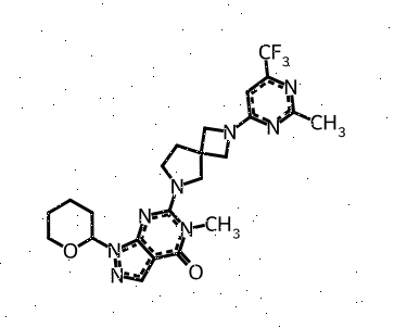 Cc1nc(N2CC3(CCN(c4nc5c(cnn5C5CCCCO5)c(=O)n4C)C3)C2)cc(C(F)(F)F)n1